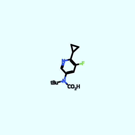 CC(C)(C)N(C(=O)O)c1cnc(C2CC2)c(F)c1